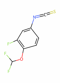 Fc1cc(N=C=S)ccc1OC(F)F